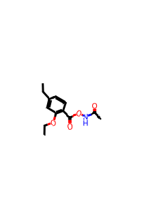 CCOc1cc(CC)ccc1C(=O)ONC(C)=O